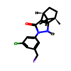 CCn1c2c(c(=O)n1-c1cc(Cl)cc(CI)c1)[C@H]1CC[C@]2(C)C1(C)C